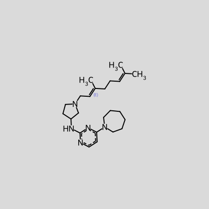 CC(C)=CCC/C(C)=C/CN1CCC(Nc2nccc(N3CCCCCC3)n2)C1